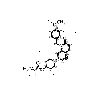 CNC(=O)OC1CCN(c2cnc3ccc(=O)n(Cc4ccc(OC)cc4)c3c2)CC1